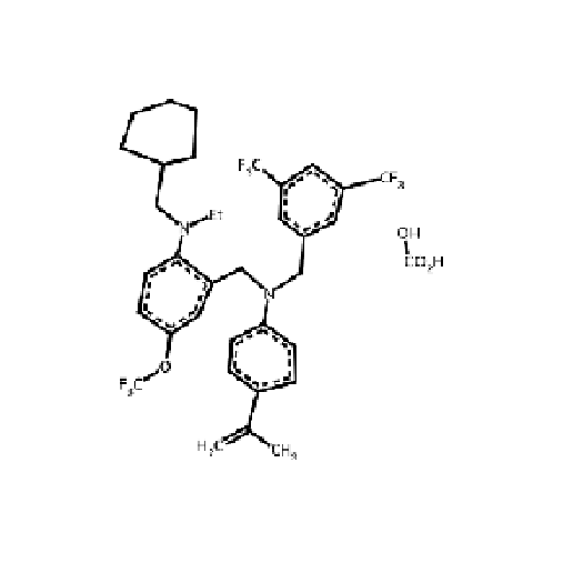 C=C(C)c1ccc(N(Cc2cc(C(F)(F)F)cc(C(F)(F)F)c2)Cc2cc(OC(F)(F)F)ccc2N(CC)CC2CCCCC2)cc1.O=C(O)O